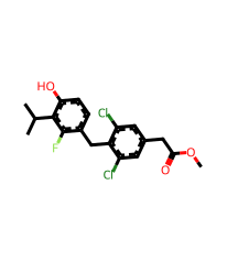 COC(=O)Cc1cc(Cl)c(Cc2ccc(O)c(C(C)C)c2F)c(Cl)c1